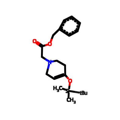 CC(C)(C)[Si](C)(C)OC1=CCN(CC(=O)OCc2ccccc2)CC1